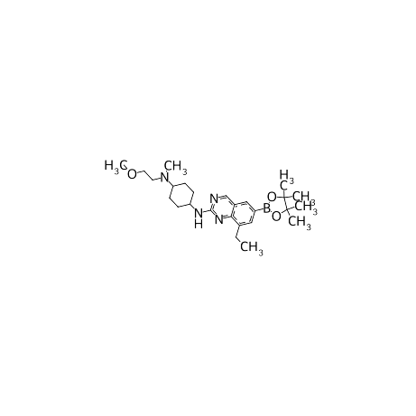 CCc1cc(B2OC(C)(C)C(C)(C)O2)cc2cnc(NC3CCC(N(C)CCOC)CC3)nc12